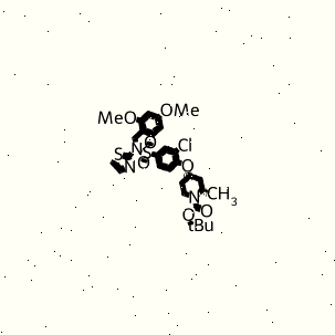 COc1ccc(CN(c2nccs2)S(=O)(=O)c2ccc(O[C@@H]3CCN(C(=O)OC(C)(C)C)[C@H](C)C3)c(Cl)c2)c(OC)c1